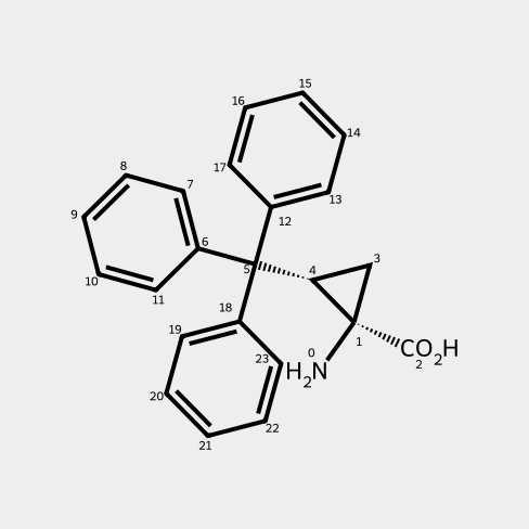 N[C@]1(C(=O)O)C[C@H]1C(c1ccccc1)(c1ccccc1)c1ccccc1